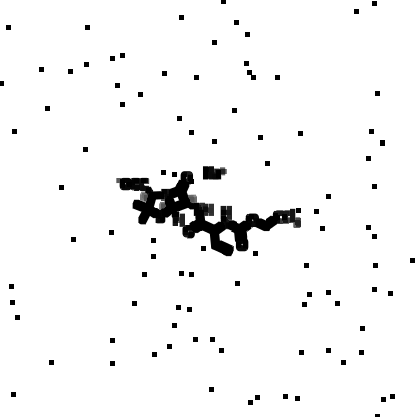 C=CC(NC(=O)OCC(Cl)(Cl)Cl)C(=O)N[C@H]1C(=O)N2[C@@H]1SC(C)(C)[C@@H]2C(=O)[O-].[Na+]